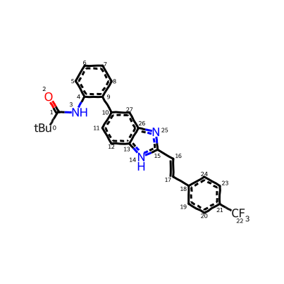 CC(C)(C)C(=O)Nc1ccccc1-c1ccc2[nH]c(C=Cc3ccc(C(F)(F)F)cc3)nc2c1